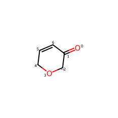 O=C1[C]OCC=C1